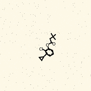 CC(C)(C)CC(=O)Oc1cccc(C2CC2)c1Cl